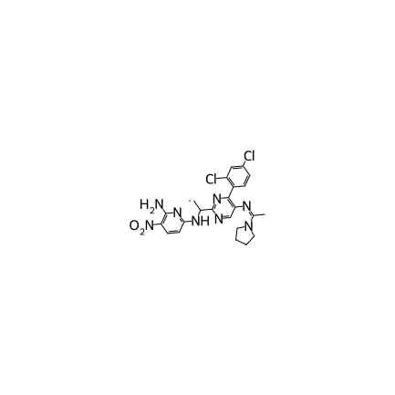 [CH2]C(Nc1ccc([N+](=O)[O-])c(N)n1)c1ncc(/N=C(/C)N2CCCC2)c(-c2ccc(Cl)cc2Cl)n1